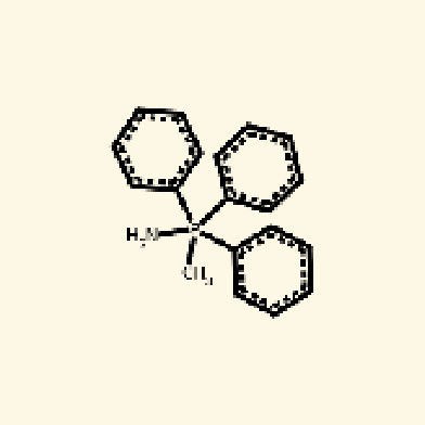 CP(N)(c1ccccc1)(c1ccccc1)c1ccccc1